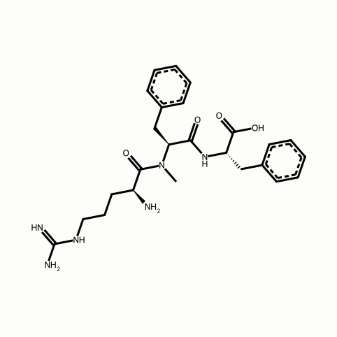 CN(C(=O)[C@@H](N)CCCNC(=N)N)[C@@H](Cc1ccccc1)C(=O)N[C@@H](Cc1ccccc1)C(=O)O